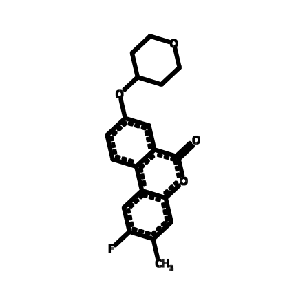 Cc1cc2oc(=O)c3cc(OC4CCOCC4)ccc3c2cc1F